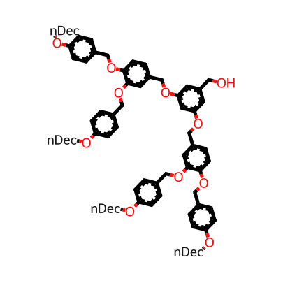 CCCCCCCCCCOc1ccc(COc2ccc(COc3cc(CO)cc(OCc4ccc(OCc5ccc(OCCCCCCCCCC)cc5)c(OCc5ccc(OCCCCCCCCCC)cc5)c4)c3)cc2OCc2ccc(OCCCCCCCCCC)cc2)cc1